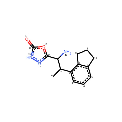 CC(c1cccc2c1CCC2)C(N)c1n[nH]c(=O)o1